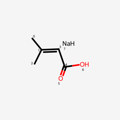 CC(C)=CC(=O)O.[NaH]